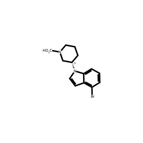 O=C(O)N1CCC[C@H](n2ccc3c(Br)cccc32)C1